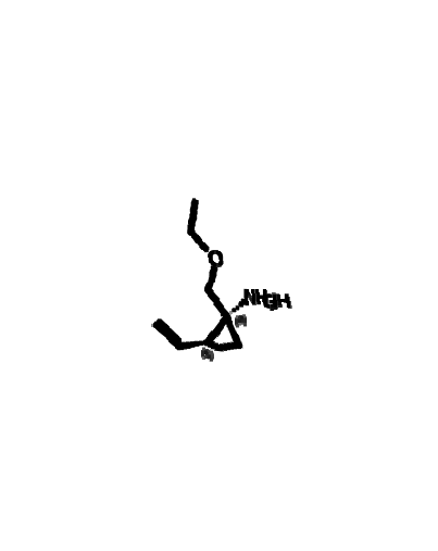 C=C[C@@H]1C[C@]1(N)COCC.Cl